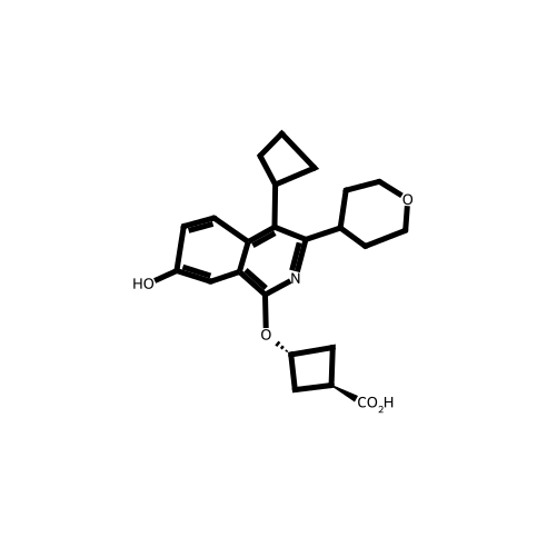 O=C(O)[C@H]1C[C@H](Oc2nc(C3CCOCC3)c(C3CCC3)c3ccc(O)cc23)C1